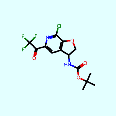 CC(C)(C)OC(=O)NC1COc2c1cc(C(=O)C(F)(F)F)nc2Cl